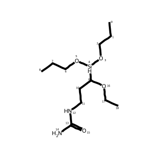 CCCO[SiH](OCCC)C(CCNC(N)=O)OCC